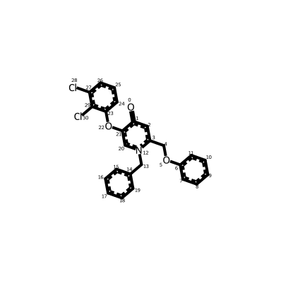 O=c1cc(COc2ccccc2)n(Cc2ccccc2)cc1Oc1cccc(Cl)c1Cl